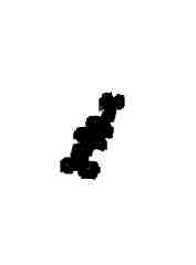 c1ccc([Si](c2ccccc2)(c2cccc3c2sc2ccc(-n4c5ccccc5c5ccccc54)cc23)c2cccc3c2sc2ccc(-n4c5ccccc5c5cccnc54)cc23)cc1